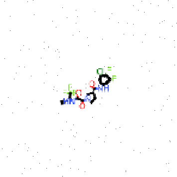 C#C[C@@H](NC(=O)C(=O)N1CC[C@H](C(=O)Nc2cc(F)c(F)c(Cl)c2)C1)C(F)(F)F